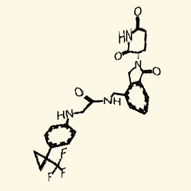 O=C(CNc1ccc(C2(C(F)(F)F)CC2)cc1)NCc1cccc2c1CN([C@H]1CCC(=O)NC1=O)C2=O